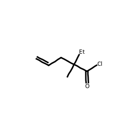 C=CCC(C)(CC)C(=O)Cl